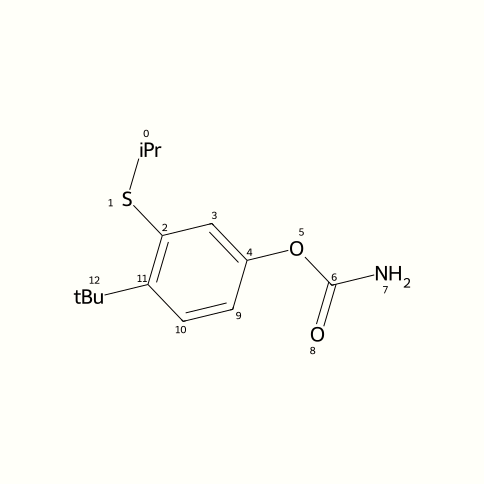 CC(C)Sc1cc(OC(N)=O)ccc1C(C)(C)C